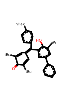 CCCCCCc1ccc(C(=C2C=C(C(C)(C)C)C(=O)C(C(C)(C)C)=C2)c2cc(-c3ccccc3)cc(C(C)C)c2O)cc1